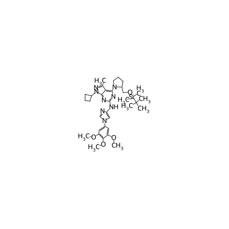 COc1cc(-n2cnc(Nc3nc(N4CCCC4CO[Si](C)(C)C(C)(C)C)c4c(C)nn(C5CCC5)c4n3)c2)cc(OC)c1OC